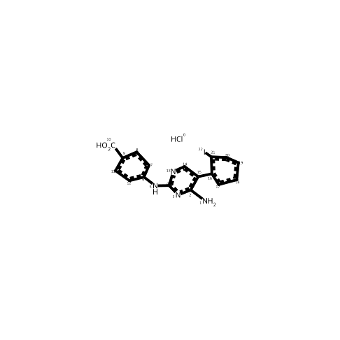 Cl.Nc1nc(Nc2ccc(C(=O)O)cc2)ncc1-c1ccccc1I